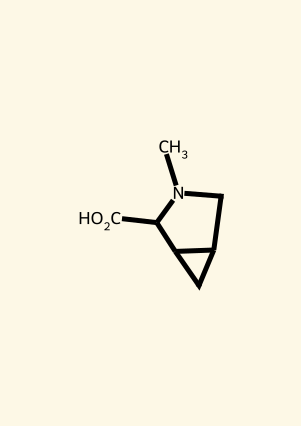 CN1CC2CC2C1C(=O)O